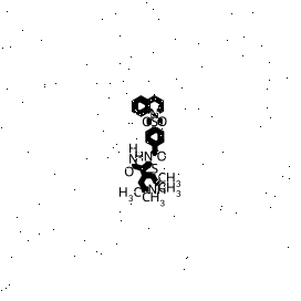 CC1(C)Cc2c(sc(NC(=O)c3ccc(S(=O)(=O)N4CCCc5ccccc54)cc3)c2C(N)=O)C(C)(C)N1